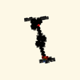 COc1ccc(C(OCCCCCCc2ccc3c4cccc5c(CCCCCCOP(OCCC#N)N(C(C)C)C(C)C)ccc(c6cccc2c63)c54)(c2ccccc2)c2ccc(OC)cc2)cc1